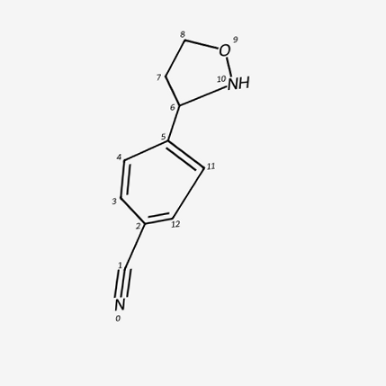 N#Cc1ccc(C2CCON2)cc1